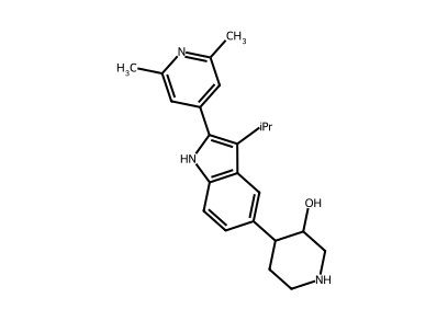 Cc1cc(-c2[nH]c3ccc(C4CCNCC4O)cc3c2C(C)C)cc(C)n1